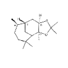 C[C@@H]1CCC(C)(C)C2C[C@H]1C[C@H]1OC(C)(C)O[C@@]21C